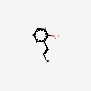 [C-]#[N+]/C=C/c1ccccc1O